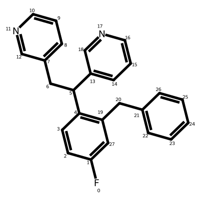 Fc1ccc(C(Cc2cccnc2)c2cccnc2)c(Cc2ccccc2)c1